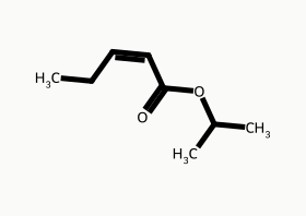 CC/C=C\C(=O)OC(C)C